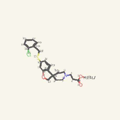 CC(C)(C)OC(=O)CCN1CCC2(CC1)COc1cc(SCc3ccccc3Cl)ccc12